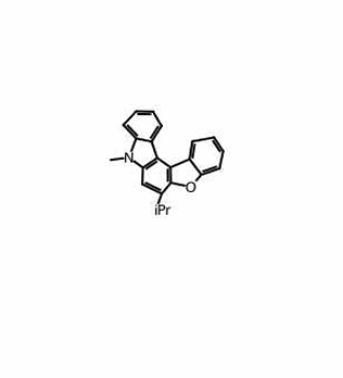 CC(C)c1cc2c(c3ccccc3n2C)c2c1oc1ccccc12